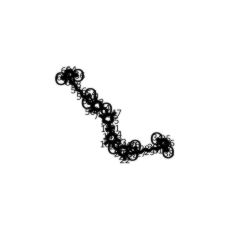 Cc1cc(Oc2c(C)cc(C(C)(C)c3cc(C)c(Oc4cc(C)c(OC(=O)CCCCCN5C(=O)C=CC5=O)c(C)c4)c(C)c3)cc2C)cc(C)c1OC(=O)CCCCCN1C(=O)C=CC1=O